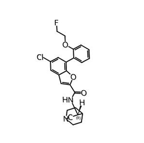 O=C(N[C@H]1CN2CCC1CC2)c1cc2cc(Cl)cc(-c3ccccc3OCCF)c2o1